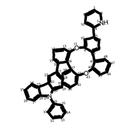 C1=CCNC(c2ccc3c(c2)Oc2cccc(-c4ccc5c(c4)c4ccccc4n5-c4ccccc4)c2-c2ccccc2Oc2ccccc2-3)=C1